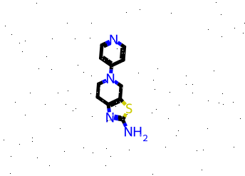 Nc1nc2c(s1)CN(c1ccncc1)CC2